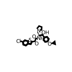 O=C(N[C@H](CN1CCCC1)[C@H](O)c1ccc(OC2CC2)cc1)C(=O)c1cc2ccc(Cl)cc2s1